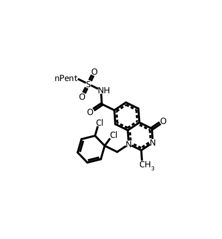 CCCCCS(=O)(=O)NC(=O)c1ccc2c(=O)nc(C)n(CC3(Cl)C=CC=CC3Cl)c2c1